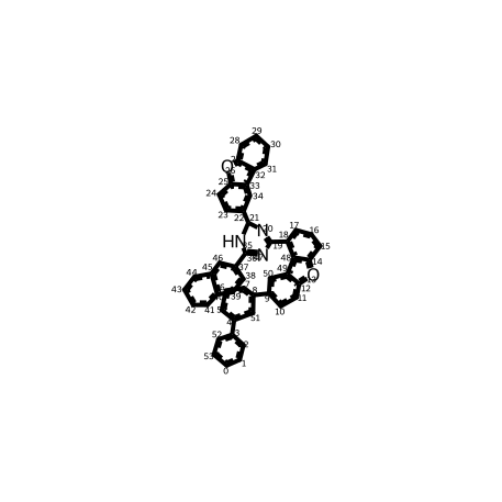 c1ccc(-c2cccc(-c3ccc4oc5cccc(C6=NC(c7ccc8oc9ccccc9c8c7)NC(c7ccc8ccccc8c7)=N6)c5c4c3)c2)cc1